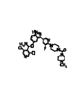 CN1CCN(C(=O)N2CCN(c3ncc(-c4n[nH]c5ccc(O[C@H](N)c6c(Cl)cncc6Cl)cc45)cc3F)CC2)CC1